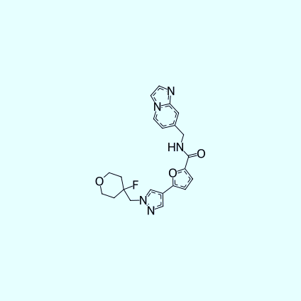 O=C(NCc1ccn2ccnc2c1)c1ccc(-c2cnn(CC3(F)CCOCC3)c2)o1